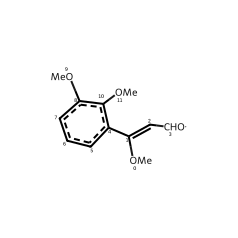 COC(=C[C]=O)c1cccc(OC)c1OC